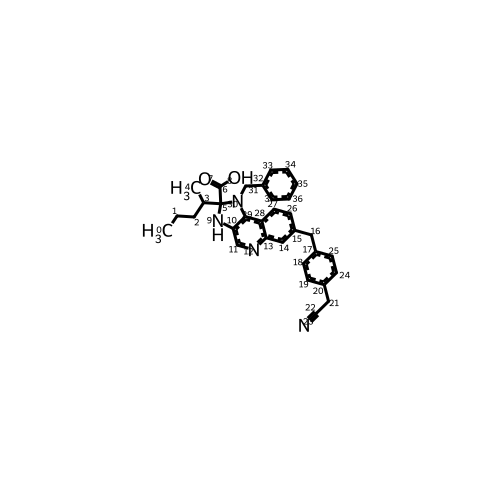 CCCC(C)C1(C(=O)O)Nc2cnc3cc(Cc4ccc(CC#N)cc4)ccc3c2N1Cc1ccccc1